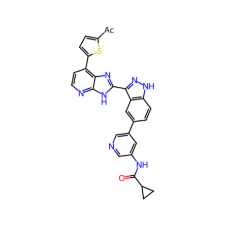 CC(=O)c1ccc(-c2ccnc3[nH]c(-c4n[nH]c5ccc(-c6cncc(NC(=O)C7CC7)c6)cc45)nc23)s1